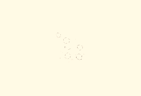 [2H]c1nc(Nc2c([2H])c(C(=O)Nc3cc(C)cc(-n4cnc(C)c4)c3)c([2H])c([2H])c2C([2H])([2H])[2H])nc(-c2cccnc2)c1[2H]